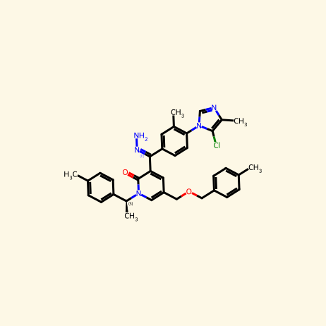 Cc1ccc(COCc2cc(/C(=N/N)c3ccc(-n4cnc(C)c4Cl)c(C)c3)c(=O)n([C@@H](C)c3ccc(C)cc3)c2)cc1